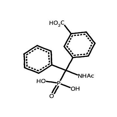 CC(=O)NC(c1ccccc1)(c1cccc(C(=O)O)c1)P(=O)(O)O